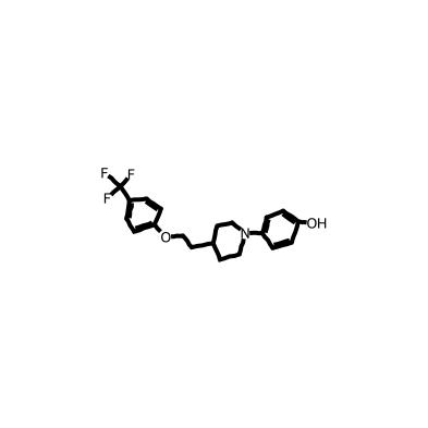 Oc1ccc(N2CCC(CCOc3ccc(C(F)(F)F)cc3)CC2)cc1